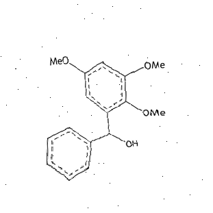 COc1cc(OC)c(OC)c(C(O)c2ccccc2)c1